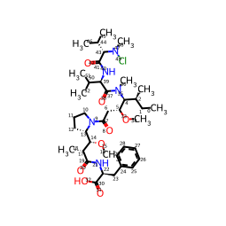 CC[C@H](C)[C@@H]([C@@H](CC(=O)N1CCC[C@H]1[C@H](OC)[C@@H](C)C(=O)N[C@@H](Cc1ccccc1)C(=O)O)OC)N(C)C(=O)[C@H](NC(=O)[C@H](C(C)C)N(C)Cl)C(C)C